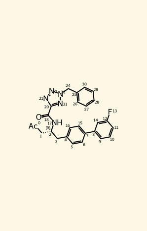 CC(=O)C[C@@H](Cc1ccc(-c2cccc(F)c2)cc1)NC(=O)c1nnn(Cc2ccccc2)n1